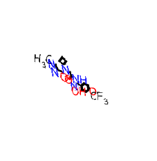 Cn1cnc(C(=O)N(CC(=O)N/C(=N/O)c2ccc(OC(F)(F)F)cc2)C2CCC2)c1